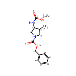 CC(C)(C)OC(=O)NC1CN(C(=O)OCc2ccccc2)CC1C(F)(F)F